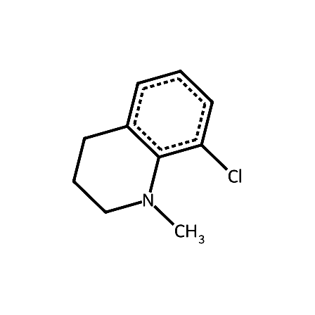 CN1CCCc2cccc(Cl)c21